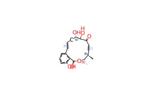 C[C@@H]1/C=C\C(=O)C(O)[C@@H](O)C/C=C/c2cccc(O)c2C(=O)O[C@H]1C